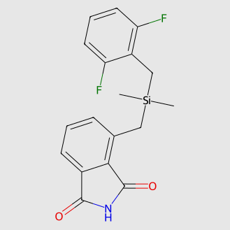 C[Si](C)(Cc1cccc2c1C(=O)NC2=O)Cc1c(F)cccc1F